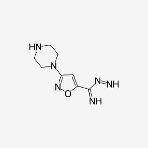 N=NC(=N)c1cc(N2CCNCC2)no1